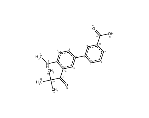 CNc1ncc(-c2cccc(C(=O)O)c2)cc1C(=O)C(C)(C)C